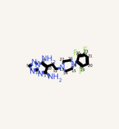 Nc1nc2ncnn2c(N)c1CCN1CCN(c2c(F)ccc(F)c2F)CC1